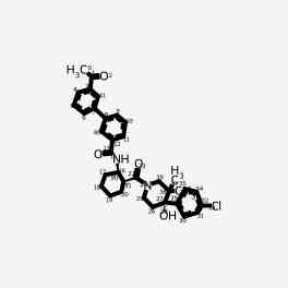 CC(=O)c1cccc(-c2cccc(C(=O)N[C@@H]3CCCC[C@@H]3C(=O)N3CC[C@](O)(c4ccc(Cl)cc4)C(C)(C)C3)c2)c1